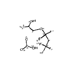 CC(O)COC(F)(F)CC(F)(F)F.OP(Cl)Cl